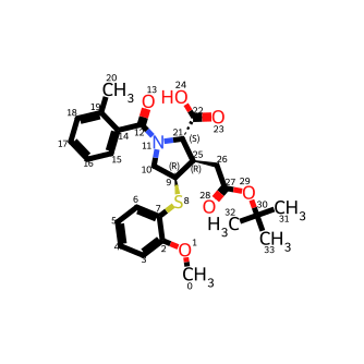 COc1ccccc1S[C@H]1CN(C(=O)c2ccccc2C)[C@H](C(=O)O)[C@H]1CC(=O)OC(C)(C)C